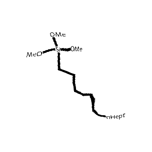 [CH2]CCCCCCCCCCC[Si](OC)(OC)OC